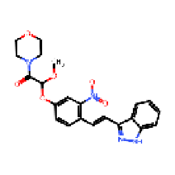 COC(Oc1ccc(C=Cc2n[nH]c3ccccc23)c([N+](=O)[O-])c1)C(=O)N1CCOCC1